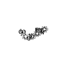 COC(=O)C[C@H]1CC[C@H](Oc2ccc(-c3ccc(-c4nc5ccccc5[nH]4)c(F)c3)cn2)CC1